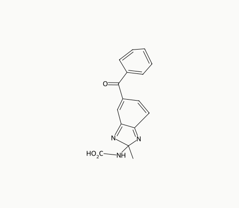 CC1(NC(=O)O)N=c2ccc(C(=O)c3ccccc3)cc2=N1